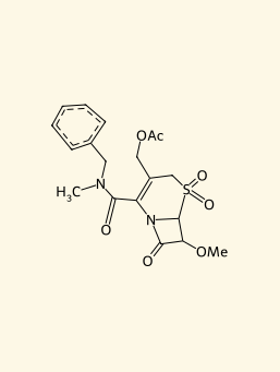 COC1C(=O)N2C(C(=O)N(C)Cc3ccccc3)=C(COC(C)=O)CS(=O)(=O)C12